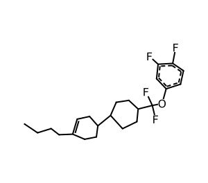 CCCCC1=CCC(C2CCC(C(F)(F)Oc3ccc(F)c(F)c3)CC2)CC1